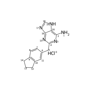 Cl.Nc1nc(Cc2ccc3c(c2)CCC3)nc2nc[nH]c12